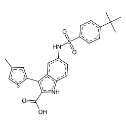 Cc1csc(-c2c(C(=O)O)[nH]c3ccc(NS(=O)(=O)c4ccc(C(C)(C)C)cc4)cc23)c1